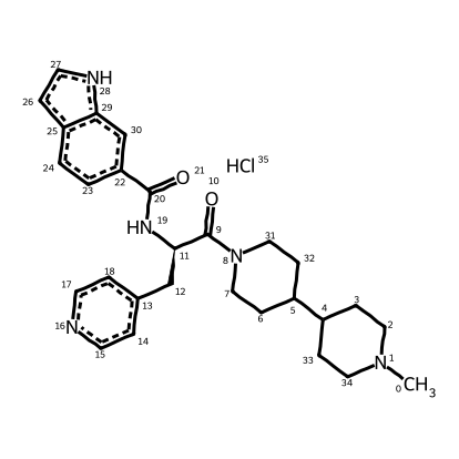 CN1CCC(C2CCN(C(=O)[C@@H](Cc3ccncc3)NC(=O)c3ccc4cc[nH]c4c3)CC2)CC1.Cl